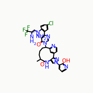 CC1CCCC(n2cnc(-c3cc(Cl)ccc3N(N)/C=C(\N)C(F)(F)F)cc2=O)c2cc(ccn2)-c2nn(-c3cccnc3O)cc2NC1=O